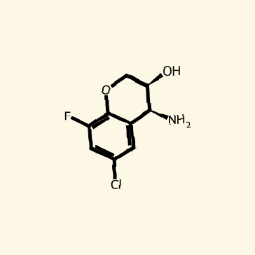 N[C@H]1c2cc(Cl)cc(F)c2OC[C@H]1O